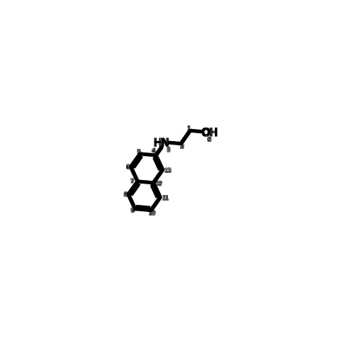 OCCNc1ccc2ccccc2c1